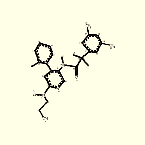 CCN(CCO)c1cc(-c2ccccc2C)c(N(C)C(=O)C(C)(C)c2cc(C(F)(F)F)cc(C(F)(F)F)c2)cn1